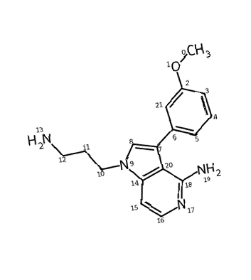 COc1cccc(-c2cn(CCCN)c3ccnc(N)c23)c1